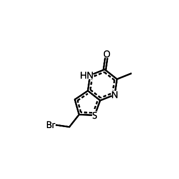 Cc1nc2sc(CBr)cc2[nH]c1=O